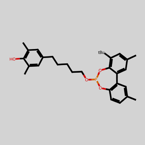 Cc1ccc2op(OCCCCCc3cc(C)c(O)c(C)c3)oc3c(C(C)(C)C)cc(C)cc3c2c1